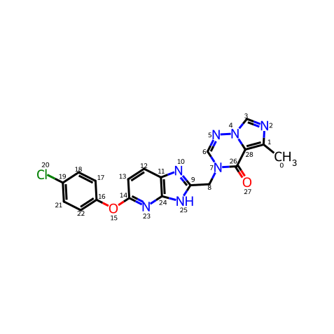 Cc1ncn2ncn(Cc3nc4ccc(Oc5ccc(Cl)cc5)nc4[nH]3)c(=O)c12